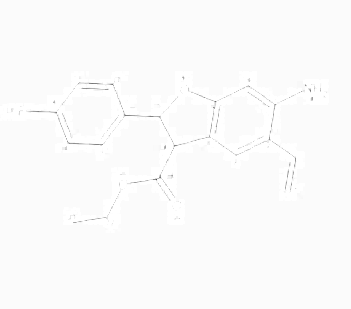 C=Cc1cc2c(cc1N)OC(c1ccc(F)cc1)C2C(=O)OCC